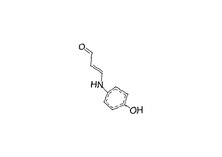 O=CC=CNc1ccc(O)cc1